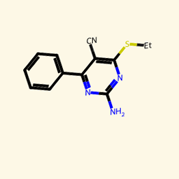 CCSc1nc(N)nc(-c2ccccc2)c1C#N